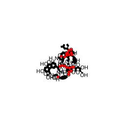 CC[C@H](CC(C)C)C(=O)N[C@H]1C(=O)C[C@@H](CC(N)=O)C(=O)N[C@H]2C(=O)C[C@H]3C(=O)N[C@H](C(=O)N[C@H](C(=O)O)c4cc(O)cc5c4-c4cc3ccc4C5(O)O)[C@H](O)c3ccc(c(Cl)c3)Oc3cc2cc(c3O[C@@H]2O[C@H](CO)[C@@H](O)[C@H](O)[C@H]2O[C@H]2C[C@](C)(NC(=O)OCC3c4ccccc4-c4ccccc43)[C@H](O)[C@H](C)O2)Oc2ccc(cc2Cl)[C@H]1O